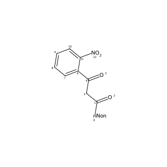 CCCCCCCCCC(=O)CC(=O)c1ccccc1[N+](=O)[O-]